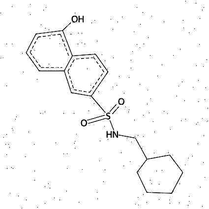 O=S(=O)(NCC1CCCCC1)c1ccc2c(O)cccc2c1